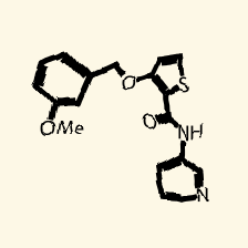 COc1cccc(COc2ccsc2C(=O)Nc2cccnc2)c1